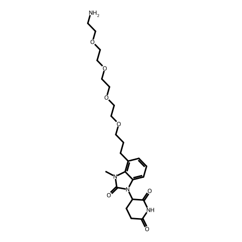 Cn1c(=O)n(C2CCC(=O)NC2=O)c2cccc(CCCOCCOCCOCCOCCN)c21